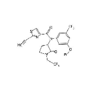 C#Cc1nc(C(=O)N(c2cc(OC(C)C)cc(C(F)(F)F)c2)C2CCN(CC(F)(F)F)C2=O)cs1